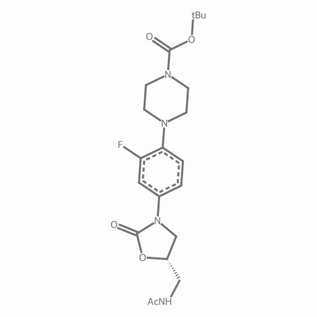 CC(=O)NC[C@H]1CN(c2ccc(N3CCN(C(=O)OC(C)(C)C)CC3)c(F)c2)C(=O)O1